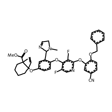 C=CC1(Oc2ccc(Oc3c(F)cnc(Oc4cc(C#N)ccc4OCc4ccccc4)c3F)c(C3N=CCN3C)c2)CCCCC1(C)C(=O)OC